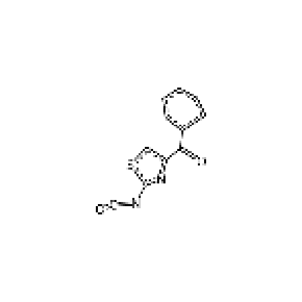 O=C=Nc1nc(C(=O)c2ccccc2)cs1